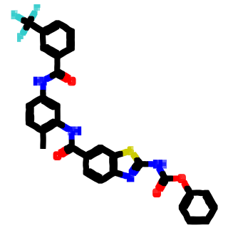 Cc1ccc(NC(=O)c2cccc(C(F)(F)F)c2)cc1NC(=O)c1ccc2nc(NC(=O)Oc3ccccc3)sc2c1